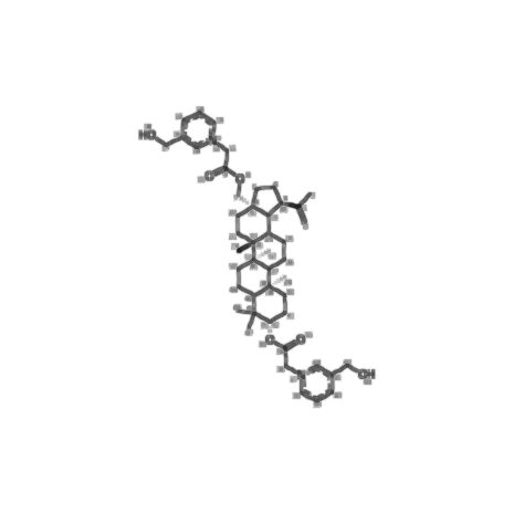 C=C(C)[C@@H]1CC[C@]2(COC(=O)C[n+]3cccc(CO)c3)CC[C@]3(C)C(CCC4[C@@]5(C)CC[C@H](OC(=O)C[n+]6cccc(CO)c6)C(C)(C)C5CC[C@]43C)C12